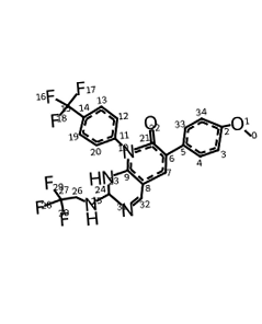 COc1ccc(-c2cc3c(n(-c4ccc(C(F)(F)F)cc4)c2=O)NC(NCC(F)(F)F)N=C3)cc1